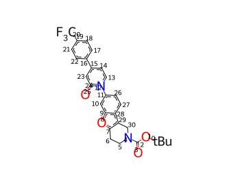 CC(C)(C)OC(=O)N1CCc2oc3cc(-n4ccc(-c5ccc(C(F)(F)F)cc5)cc4=O)ccc3c2C1